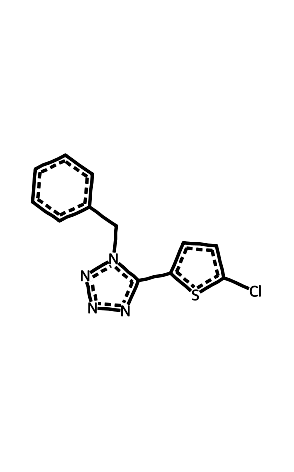 Clc1ccc(-c2nnnn2Cc2ccccc2)s1